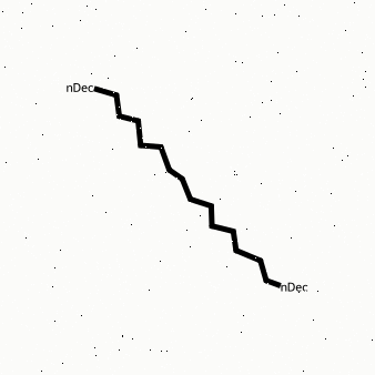 [CH2]CCCCCCCCCCCCCCCCCCCCCCCCCCCCCCCC[CH2]